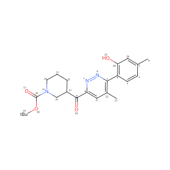 Cc1ccc(-c2nnc(C(=O)C3CCCN(C(=O)OC(C)(C)C)C3)cc2C)c(O)c1